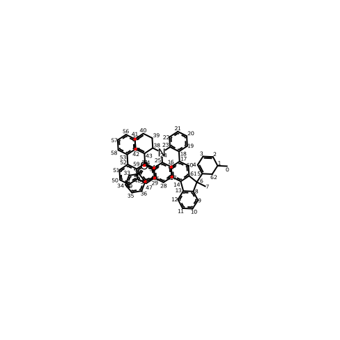 CC1C=CC=C(C2(C)c3ccccc3-c3ccc(-c4ccccc4N(c4cccc5c4oc4ccccc45)C4CC=CC=C4c4cccc5cccc(-c6ccccc6)c45)cc32)C1